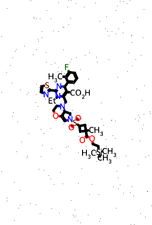 CCN1C(c2nccs2)=NC(c2cccc(F)c2C)C(C(=O)O)=C1CN1CCOC2=CN(S(=O)(=O)C3CC(C)(C(=O)OCC[Si](C)(C)C)C3)CC21